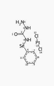 NNC(=O)N[Se]c1ccccc1.[Cl][Pt][Cl]